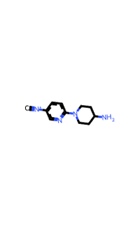 [C-]#[N+]c1ccc(N2CCC(N)CC2)nc1